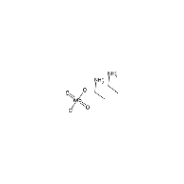 CC[NH3+].CC[NH3+].[O]=[Mo](=[O])([O-])[O-]